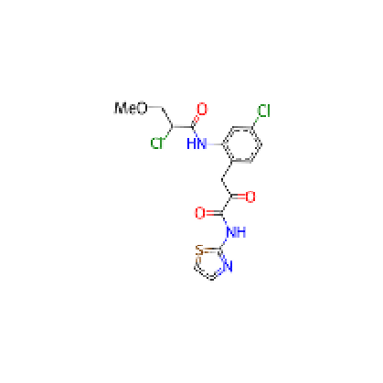 COCC(Cl)C(=O)Nc1cc(Cl)ccc1CC(=O)C(=O)Nc1nccs1